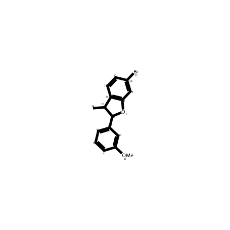 COc1cccc(C2Oc3cc(Br)ccc3C2C)c1